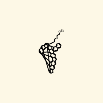 CCOCCOCCN1CC2C3=c4c5c6c7c(cc8cc9cc%10cc%11cc%12c%13c(c4c4c5c5c7c8c7c9c%10c8c%11c%13c4c8c75)=C(C3)C%12)CC62C1c1cccc2ccccc12